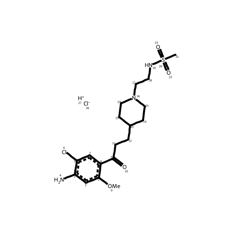 COc1cc(N)c(Cl)cc1C(=O)CCC1CCN(CCNS(C)(=O)=O)CC1.[Cl-].[H+]